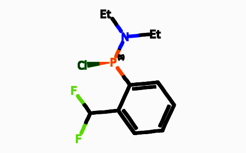 CCN(CC)[P@](Cl)c1ccccc1C(F)F